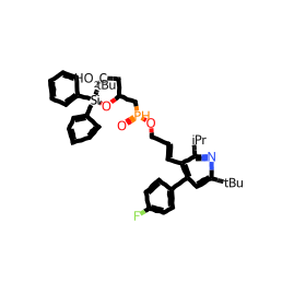 CC(C)c1nc(C(C)(C)C)cc(-c2ccc(F)cc2)c1C=CCO[PH](=O)CC(CC(=O)O)O[Si](c1ccccc1)(c1ccccc1)C(C)(C)C